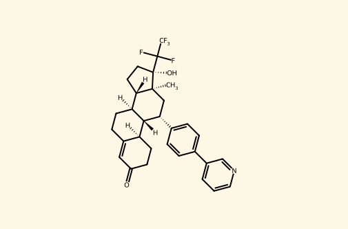 C[C@]12C[C@H](c3ccc(-c4cccnc4)cc3)[C@H]3[C@@H](CCC4=CC(=O)CC[C@@H]43)[C@@H]1CC[C@@]2(O)C(F)(F)C(F)(F)F